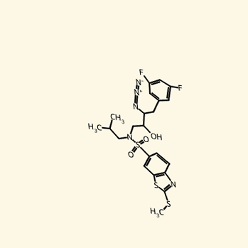 CSc1nc2ccc(S(=O)(=O)N(CC(C)C)CC(O)C(Cc3cc(F)cc(F)c3)N=[N+]=[N-])cc2s1